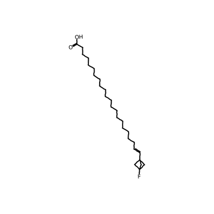 O=C(O)CCCCCCCCCCCCCCCCCCC/C=C/C12CC(F)(C1)C2